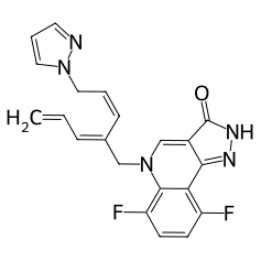 C=C/C=C(\C=C/Cn1cccn1)Cn1cc2c(=O)[nH]nc-2c2c(F)ccc(F)c21